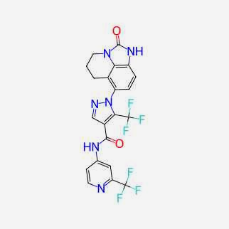 O=C(Nc1ccnc(C(F)(F)F)c1)c1cnn(-c2ccc3[nH]c(=O)n4c3c2CCC4)c1C(F)(F)F